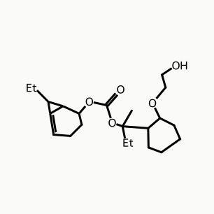 CCC1C2=CCCC(OC(=O)OC(C)(CC)C3CCCCC3OCCO)C21